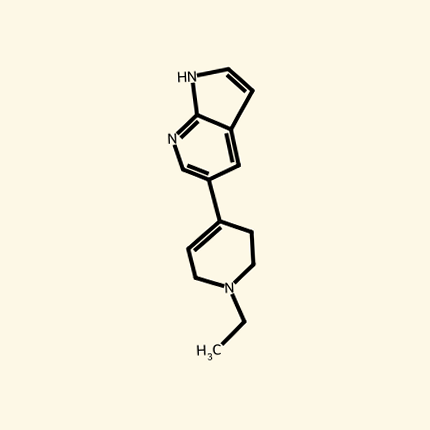 CCN1CC=C(c2cnc3[nH]ccc3c2)CC1